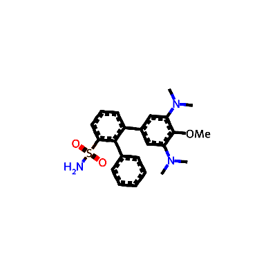 COc1c(N(C)C)cc(-c2cccc(S(N)(=O)=O)c2-c2ccccc2)cc1N(C)C